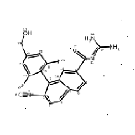 [C-]#[N+]c1ccc2ccc(C(=O)N=C(N)N)cc2c1-c1c(F)cc(CO)cc1F